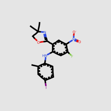 Cc1cc(I)ccc1Nc1cc(F)c([N+](=O)[O-])cc1C1=NC(C)(C)CO1